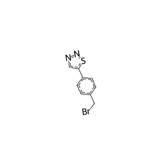 BrCc1ccc(-c2cnns2)cc1